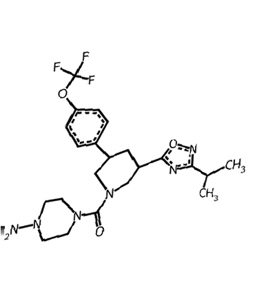 CC(C)c1noc(C2CC(c3ccc(OC(F)(F)F)cc3)CN(C(=O)N3CCN(N)CC3)C2)n1